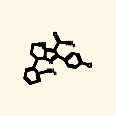 NC(=O)c1c(-c2ccc(Cl)cc2)nn2c1NCCC2c1ccccc1N